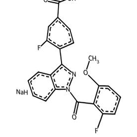 COc1cccc(F)c1C(=O)n1nc(-c2ccc(C(=O)O)cc2F)c2ccccc21.[NaH]